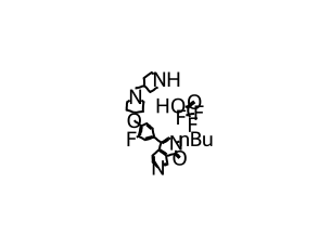 CCCCn1cc(-c2ccc(OC3CCN(CC4CCNCC4)CC3)c(F)c2)c2ccncc2c1=O.O=C(O)C(F)(F)F